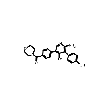 CCc1c(-c2ccc(C(=O)N3CCOCC3)cc2)cnc(N)c1-c1ccc(O)cc1